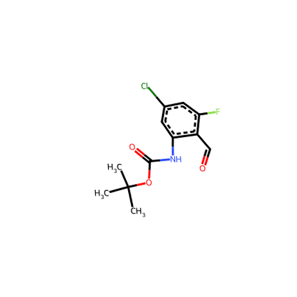 CC(C)(C)OC(=O)Nc1cc(Cl)cc(F)c1C=O